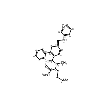 COC(=O)[C@H](CCSC)N(C)C(=O)C1=C(c2ccccc2)CC(=CNc2cccnc2)C=C1